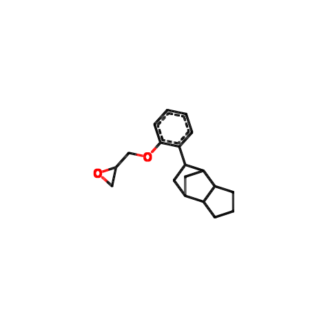 c1ccc(C2CC3CC2C2CCCC32)c(OCC2CO2)c1